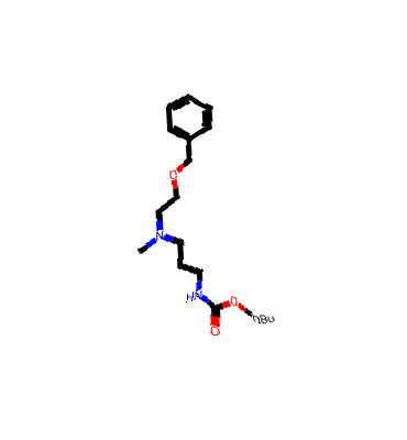 CCCCOC(=O)NCCCN(C)CCOCc1ccccc1